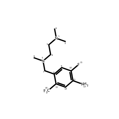 CN(C)CCN(C)Cc1cc(F)c(N)cc1C(F)(F)F